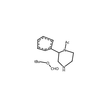 CC(=O)N1CCNCC1c1ccccc1.CC(C)(C)OC=O